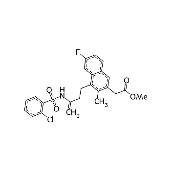 C=C(CCc1c(C)c(CC(=O)OC)cc2ccc(F)cc12)NS(=O)(=O)c1ccccc1Cl